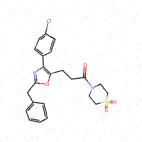 O=C(CCc1oc(Cc2ccccc2)nc1-c1ccc(Cl)cc1)N1CCS(=O)(=O)CC1